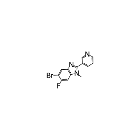 Cn1c(-c2cccnc2)nc2cc(Br)c(F)cc21